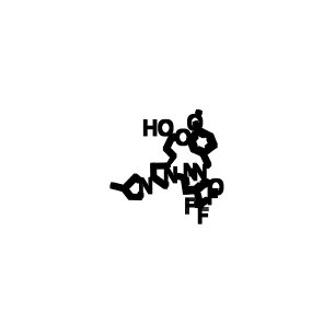 COc1ccc(Cn2nc(N3C[C@@H](N4CCC(C)C4)C[C@H]3CCC(=O)O)cc(C(F)(F)F)c2=O)cc1